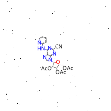 CC(=O)OC[C@H]1O[C@@H](n2cnc3c(Nc4ccccn4)nc(C#N)nc32)[C@H](OC(C)=O)[C@@H]1OC(C)=O